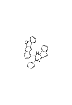 c1ccc(-c2nc3ccc4ccccc4c3nc2-c2cccc3cc4oc5ccccc5c4cc23)cc1